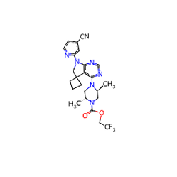 C[C@@H]1CN(c2ncnc3c2C2(CCC2)CN3c2cc(C#N)ccn2)[C@@H](C)CN1C(=O)OCC(F)(F)F